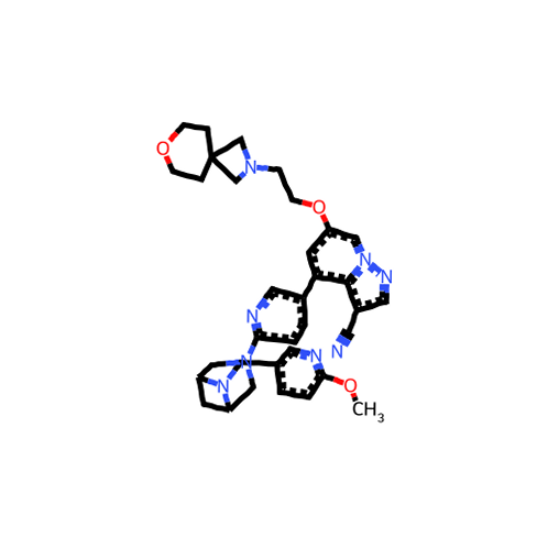 COc1ccc(CN2C3CC2CN(c2ccc(-c4cc(OCCN5CC6(CCOCC6)C5)cn5ncc(C#N)c45)cn2)C3)cn1